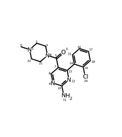 CN1CCN(C(=O)c2cnc(N)nc2-c2ccccc2Cl)CC1